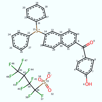 O=C(c1ccc(O)cc1)c1ccc2cc([S+](c3ccccc3)c3ccccc3)ccc2c1.O=S(=O)([O-])C(F)(F)C(F)(F)C(F)(F)C(F)(F)F